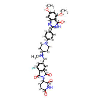 COc1cc(OC)c2c(=O)[nH]c(-c3ccc(N4CCC(N(C)Cc5cc(F)c6c(c5)C(=O)N(C5CCC(=O)NC5=O)C6=O)CC4)cc3)nc2c1